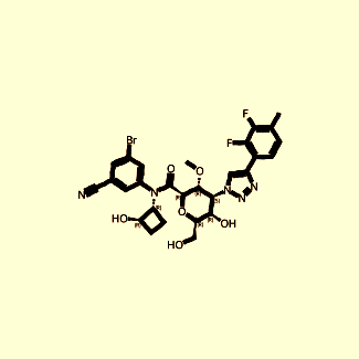 CO[C@@H]1[C@@H](n2cc(-c3ccc(C)c(F)c3F)nn2)[C@@H](O)[C@@H](CO)O[C@H]1C(=O)N(c1cc(Br)cc(C#N)c1)[C@@H]1CC[C@H]1O